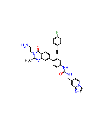 Cc1nc2cc(-c3ccc(NC(=O)NCc4ccn5ccnc5c4)cc3C#Cc3ccc(F)cc3)ccc2c(=O)n1CCN